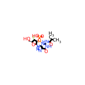 CC(C)C(=O)Nc1nc2c(nnn2[C@@H]2O[C@H](CO)[C@@H](F)[C@@H]2O[PH](=O)O)c(=O)[nH]1